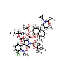 CC(=O)O[C@@H]1C(C)=C[C@@H]2[C@H](C(C)CN(C(C)=O)C3CC3)CC[C@@H](C)[C@]2(O)[C@H]1OC(=O)[C@@H]1C[C@@]2(OC(=O)OC(C)(C)C)c3cccc(Cl)c3N(C)O[C@H]2N1C(=O)OC(C)(C)C